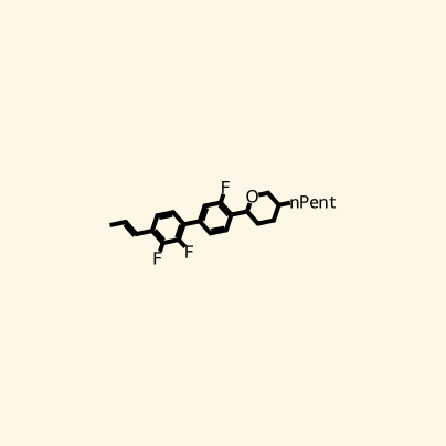 C/C=C/c1ccc(-c2ccc(C3CCC(CCCCC)CO3)c(F)c2)c(F)c1F